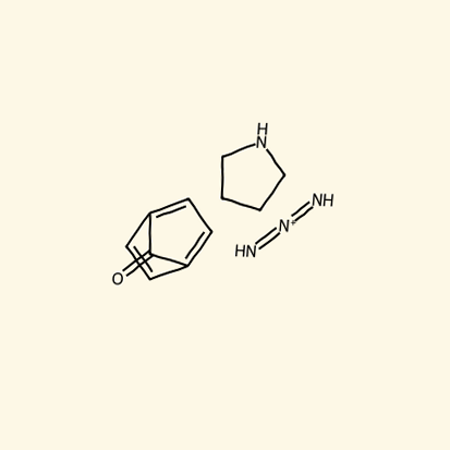 C1CCNC1.N=[N+]=N.O=C1C2=CC=C1C=C2